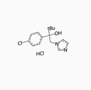 CC(C)(C)C(O)(Cn1ccnc1)c1ccc(Cl)cc1.Cl